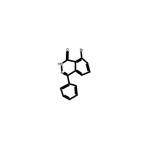 O=c1[nH]nc(-c2ccccc2)c2cccc(Br)c12